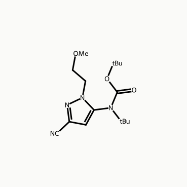 COCCn1nc(C#N)cc1N(C(=O)OC(C)(C)C)C(C)(C)C